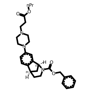 CCCOC(=O)CCN1CCN(c2ccc3c(c2)[C@@H]2C[C@H]3CCN2C(=O)OCc2ccccc2)CC1